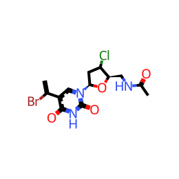 C=C(Br)c1cn([C@H]2CC(Cl)[C@@H](CNC(C)=O)O2)c(=O)[nH]c1=O